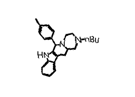 CCCCN1CCN2C(Cc3c([nH]c4ccccc34)C2c2ccc(C)cc2)C1